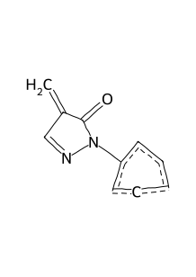 C=C1C=NN(c2ccccc2)C1=O